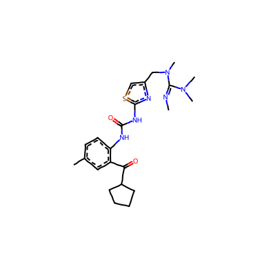 CN=C(N(C)C)N(C)Cc1csc(NC(=O)Nc2ccc(C)cc2C(=O)C2CCCC2)n1